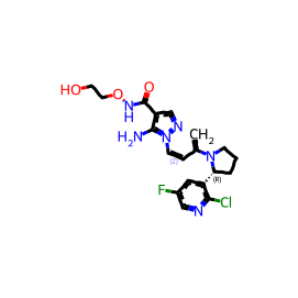 C=C(/C=C\n1ncc(C(=O)NOCCO)c1N)N1CCC[C@@H]1c1cc(F)cnc1Cl